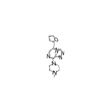 CN1CCN(c2ncc(-c3ccco3)n3cnnc23)CC1